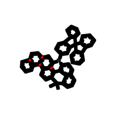 CC1(C)c2ccc(-c3ccccc3)cc2-c2c(N(c3ccc(-c4ccccc4)cc3)c3ccc4c(c3)C3(c5ccccc5-c5ccccc53)c3ccccc3-4)ccc3cccc1c23